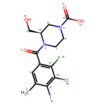 Cc1cc(C(=O)N2CCN(C(=O)O)C[C@@H]2CO)c(F)c(Cl)c1I